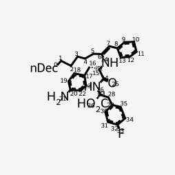 CCCCCCCCCCCCCCCC(=Cc1ccccc1)N[C@@H](Cc1ccc(N)cc1)C(=O)N[C@@H](Cc1ccc(F)cc1)C(=O)O